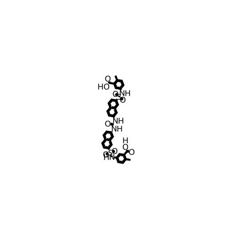 Cc1ccc(NS(=O)(=O)c2ccc3ccc(NC(=O)Nc4ccc5ccc(S(=O)(=O)Nc6ccc(C)c(C(=O)O)c6)cc5c4)cc3c2)cc1C(=O)O